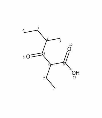 CCC(C)C(=O)C(CC)C(=O)O